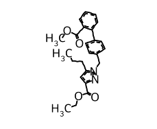 CCCc1cc(C(=O)OCC)nn1Cc1ccc(-c2ccccc2C(=O)OC)cc1